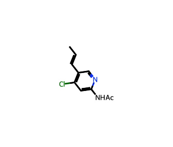 C/C=C/c1cnc(NC(C)=O)cc1Cl